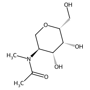 CC(=O)N(C)[C@H]1CO[C@H](CO)[C@H](O)[C@@H]1O